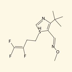 CO/N=C/C1=C(C(C)(C)C)N=C[SH]1CCC(F)=C(F)F